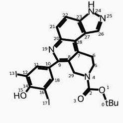 CC(C)(C)OC(=O)N1CCc2c(c(-c3cc(I)c(O)c(I)c3)nc3ccc4[nH]ncc4c23)C1